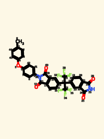 Cc1ccc(Oc2ccc(N3C(=O)c4ccc(C(c5ccc6c(c5)C(=O)NC6=O)(C(F)(F)F)C(F)(F)F)cc4C3=O)cc2)cc1